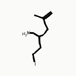 C=C(C)CC(N)CCI